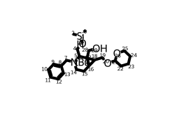 C[SiH](C)OCC1N(Cc2ccccc2)CCC2(C(C)(C)C)C(COC3CCCCO3)C12CO